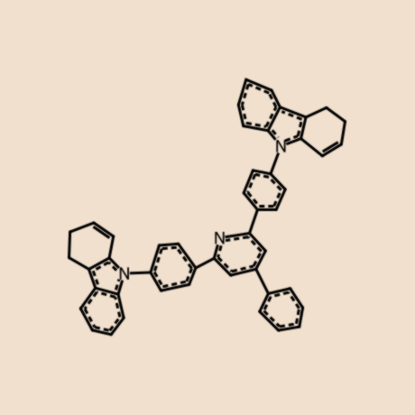 C1=Cc2c(c3ccccc3n2-c2ccc(-c3cc(-c4ccccc4)cc(-c4ccc(-n5c6c(c7ccccc75)CCC=C6)cc4)n3)cc2)CC1